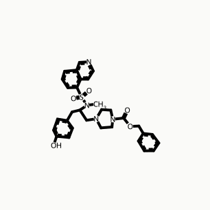 CN(C(Cc1ccc(O)cc1)CN1CCN(C(=O)OCc2ccccc2)CC1)S(=O)(=O)c1cccc2cnccc12